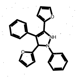 c1ccc(C2=C(c3ccco3)NN(c3ccccc3)C2c2ccco2)cc1